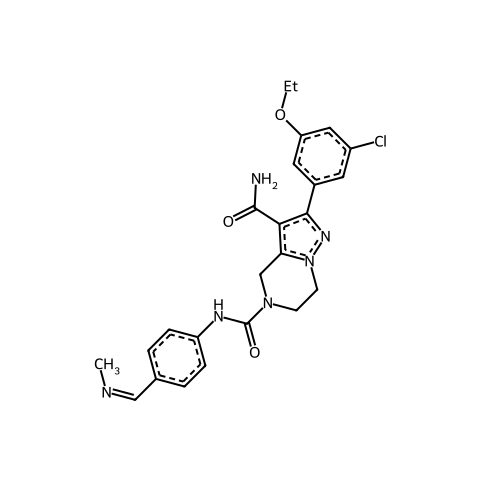 CCOc1cc(Cl)cc(-c2nn3c(c2C(N)=O)CN(C(=O)Nc2ccc(/C=N\C)cc2)CC3)c1